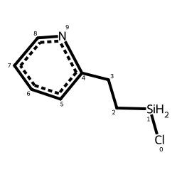 Cl[SiH2]CCc1ccccn1